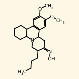 CCCCC1CN2C(C/C1=N/O)c1cc(OC)c(OC)cc1C1CCCCC12